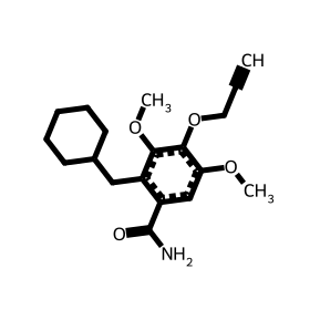 C#CCOc1c(OC)cc(C(N)=O)c(CC2CCCCC2)c1OC